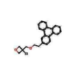 CCC1(COCCc2ccc3c4ccccc4c4ccccc4c3c2)COC1